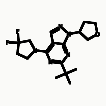 CC(C)(C)c1nc(N2CCC(F)(F)C2)c2cnn(C3CCOC3)c2n1